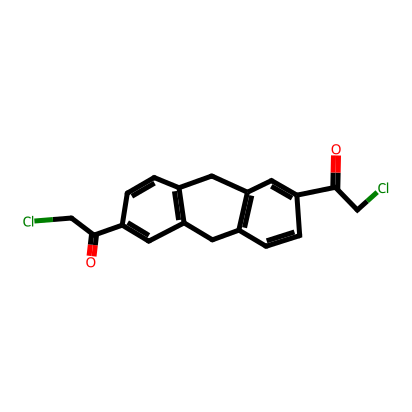 O=C(CCl)c1ccc2c(c1)Cc1ccc(C(=O)CCl)cc1C2